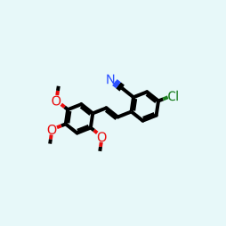 COc1cc(OC)c(OC)cc1C=Cc1ccc(Cl)cc1C#N